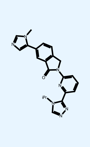 CC(C)n1cnnc1-c1cccc(N2Cc3ccc(-c4cncn4C)cc3C2=O)n1